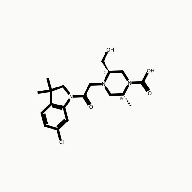 C[C@@H]1CN(CC(=O)N2CC(C)(C)c3ccc(Cl)cc32)[C@@H](CO)CN1C(=O)O